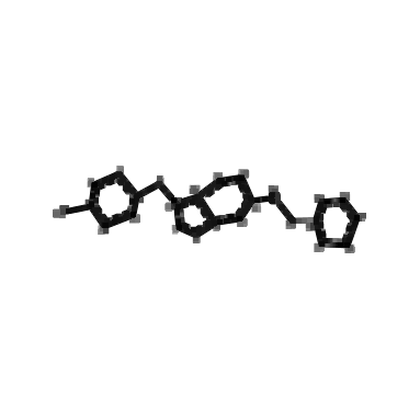 Fc1ccc(Cn2ccc3cc(OCc4ccccc4)ccc32)cc1